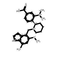 COc1cc(C)c2[nH]ccc2c1CN1CCCC[C@@H]1c1ccc(C(=O)O)cc1N(C)C